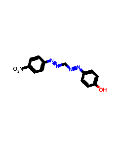 O=[N+]([O-])c1ccc(N=NCN=Nc2ccc(O)cc2)cc1